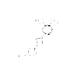 Cc1ccc(N2CC(N3CCC(O)C3)C2)cc1C(=O)O